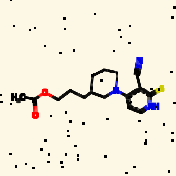 CC(=O)OCCCC1CCCN(c2cc[nH]c(=S)c2C#N)C1